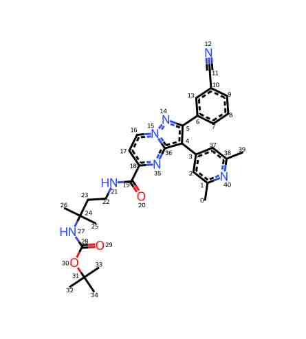 Cc1cc(-c2c(-c3cccc(C#N)c3)nn3ccc(C(=O)NCCC(C)(C)NC(=O)OC(C)(C)C)nc23)cc(C)n1